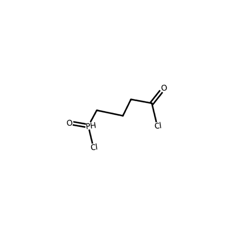 O=C(Cl)CCC[PH](=O)Cl